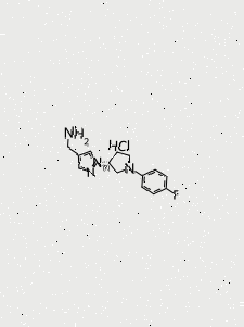 Cl.NCc1cnn([C@@H]2CCN(c3ccc(F)cc3)C2)c1